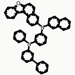 c1ccc(-c2cccc(N(c3ccccc3)c3cccc(N(c4ccc5ccccc5c4)c4ccc5c(ccc6oc7ccccc7c65)c4)c3)c2)cc1